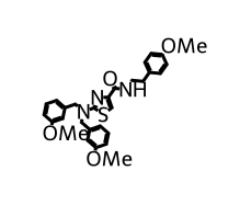 COc1ccc(CCNC(=O)c2csc(N(Cc3cccc(OC)c3)Cc3cccc(OC)c3)n2)cc1